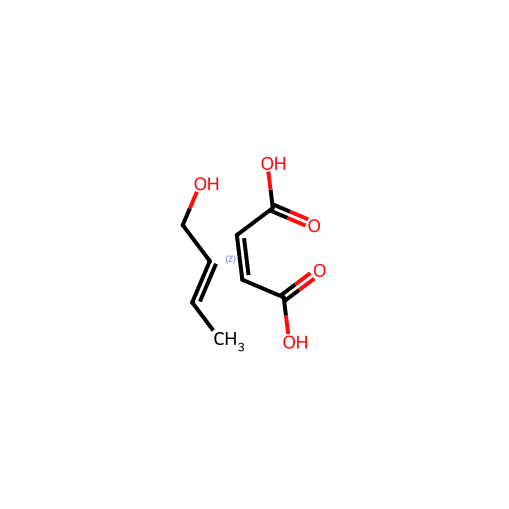 CC=CCO.O=C(O)/C=C\C(=O)O